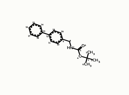 CC(C)(C)OC(=O)NCc1ccc(-c2ccccc2)cc1